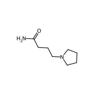 NC(=O)CCCN1CCCC1